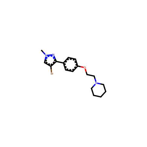 Cn1cc(Br)c(-c2ccc(OCCN3CCCCC3)cc2)n1